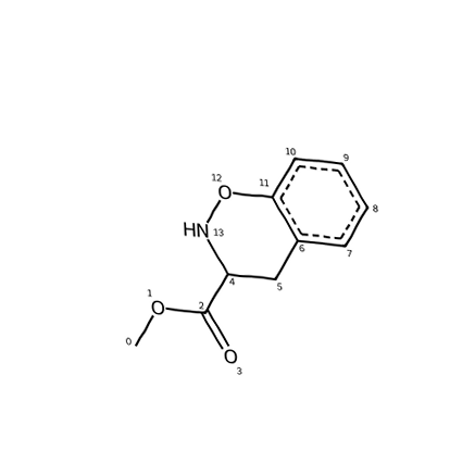 COC(=O)C1Cc2ccccc2ON1